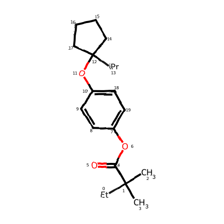 CCC(C)(C)C(=O)Oc1ccc(OC2(C(C)C)CCCC2)cc1